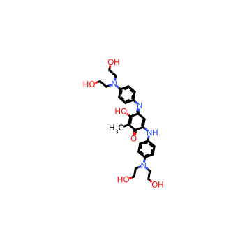 CC1=C(O)/C(=N\c2ccc(N(CCO)CCO)cc2)C=C(Nc2ccc(N(CCO)CCO)cc2)C1=O